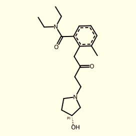 CCN(CC)C(=O)c1cccc(C)c1CC(=O)CCN1CC[C@@H](O)C1